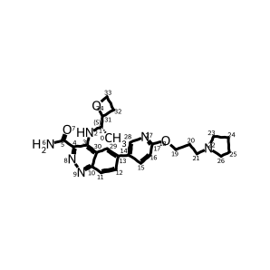 C[C@H](Nc1c(C(N)=O)nnc2ccc(-c3ccc(OCCCN4CCCC4)nc3)cc12)C1CCO1